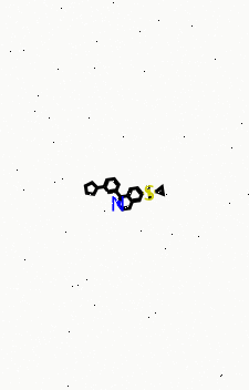 CS(C)(c1ccc2c(-c3cccc(C4CCCC4)c3)nccc2c1)C1CC1